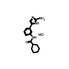 Cl.Nc1ncc(-c2cccc(NC(=O)C3CCCCC3)c2)[nH]1